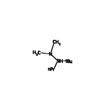 CCC[SiH](N(C)C)C(C)(C)C